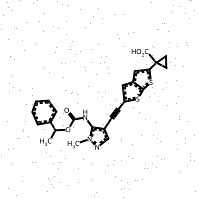 CC(OC(=O)Nc1c(C#Cc2cc3cc(C4(C(=O)O)CC4)sc3s2)cnn1C)c1ccccc1